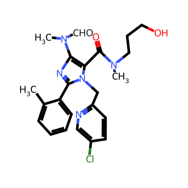 Cc1ccccc1-c1nc(N(C)C=O)c(C(=O)N(C)CCCO)n1Cc1ccc(Cl)cn1